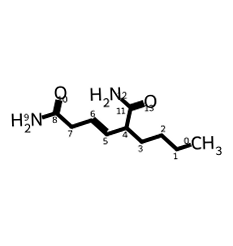 CCCCC(C=CCC(N)=O)C(N)=O